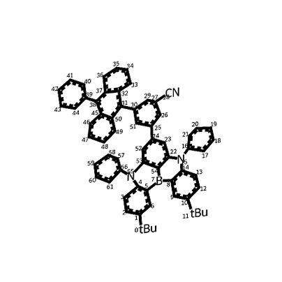 CC(C)(C)c1ccc2c(c1)B1c3cc(C(C)(C)C)ccc3N(c3ccccc3)c3cc(-c4cc(C#N)cc(-c5c6ccccc6c(-c6ccccc6)c6ccccc56)c4)cc(c31)N2c1ccccc1